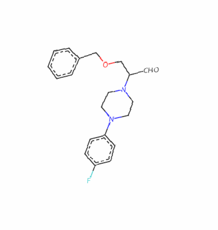 O=CC(COCc1ccccc1)N1CCN(c2ccc(F)cc2)CC1